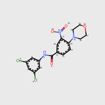 O=C(Nc1cc(Cl)cc(Cl)c1)c1ccc(N2CCOCC2)c([N+](=O)[O-])c1